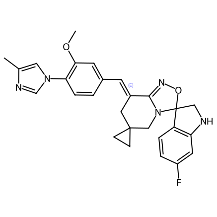 COc1cc(/C=C2\CC3(CC3)CN3C2=NOC32CNc3cc(F)ccc32)ccc1-n1cnc(C)c1